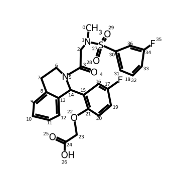 CN(CC(=O)N1CCc2ccccc2C1c1cc(F)ccc1OCC(=O)O)S(=O)(=O)c1cccc(F)c1